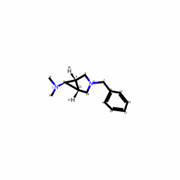 CN(C)[C@H]1[C@@H]2CN(Cc3ccccc3)C[C@@H]21